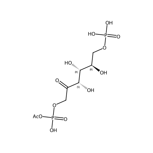 CC(=O)OP(=O)(O)OCC(=O)[C@@H](O)[C@H](O)[C@H](O)COP(=O)(O)O